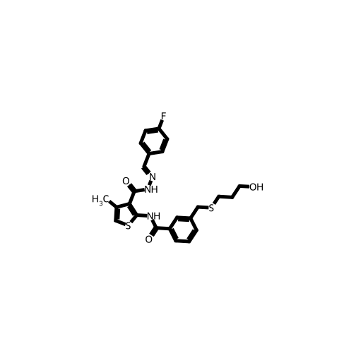 Cc1csc(NC(=O)c2cccc(CSCCCO)c2)c1C(=O)N/N=C/c1ccc(F)cc1